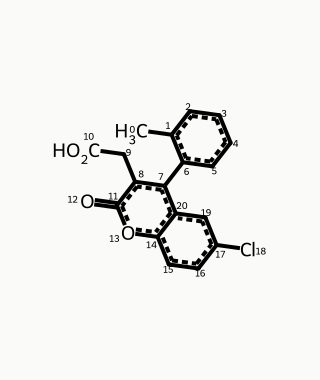 Cc1ccccc1-c1c(CC(=O)O)c(=O)oc2ccc(Cl)cc12